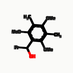 COc1c(C)c(OC)c(C(O)C(C)C)c(OC)c1C